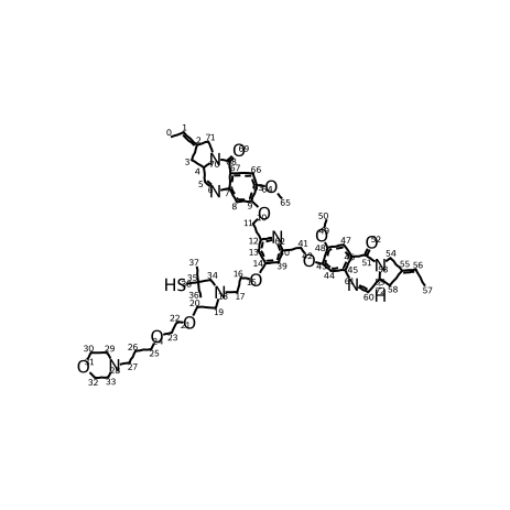 C/C=C1\CC2C=Nc3cc(OCc4cc(OCCN(CCOCCOCCCN5CCOCC5)CC(C)(C)S)cc(COc5cc6c(cc5OC)C(=O)N5C/C(=C/C)C[C@H]5C=N6)n4)c(OC)cc3C(=O)N2C1